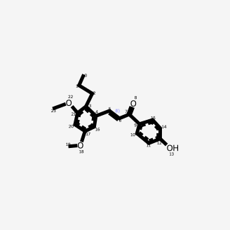 CCCc1c(/C=C/C(=O)c2ccc(O)cc2)cc(OC)cc1OC